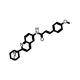 COc1ccc(C=CC(=O)Nc2ccc3nc(N4CC5CCC4CC5)ccc3c2)cc1